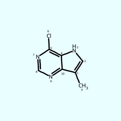 Cc1c[nH]c2c(Cl)ncnc12